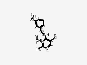 COc1cccc([C@@H](CO)Nc2nc(Cl)ncc2Cl)c1